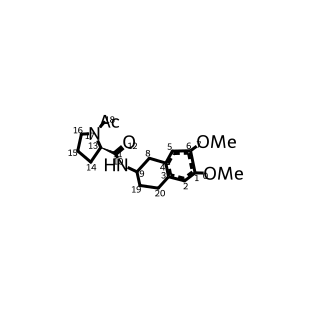 COc1cc2c(cc1OC)CC(NC(=O)[C@H]1CCCN1C(C)=O)CC2